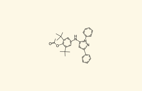 CC(=O)Oc1c(C(C)(C)C)cc(Nc2cc(-c3ccccc3)nn2-c2ccccc2)cc1C(C)(C)C